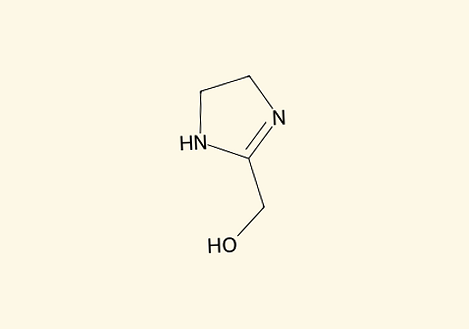 OCC1=NCCN1